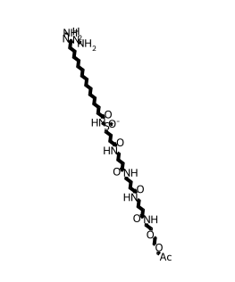 CC(=O)COCCOCCNC(=O)CCCNC(=O)CCCNC(=O)CCCNC(=O)CCC[S+]([O-])NC(=O)CCCCCCCCCCCCCCC/C(=N/N)NN